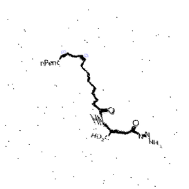 CCCCC/C=C\C/C=C\CCCCCCCC(=O)NC(CCC(=O)N=NN)C(=O)O